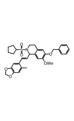 COc1cc2c(cc1OCc1ccccc1)CCN(S(=O)(=O)C1CCCC1)C2/C=C/c1cc2c(cc1C)OCO2